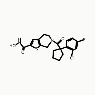 O=C(NO)c1cc2c(s1)CN(C(=O)C1(c3ccc(F)cc3Cl)CCCC1)CC2